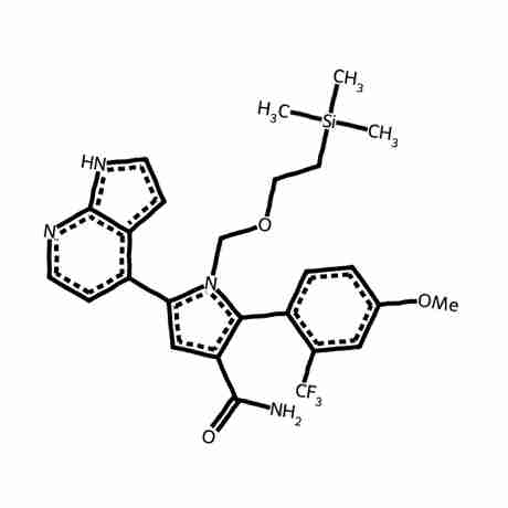 COc1ccc(-c2c(C(N)=O)cc(-c3ccnc4[nH]ccc34)n2COCC[Si](C)(C)C)c(C(F)(F)F)c1